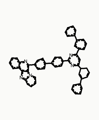 C1=CC(c2ccccc2)=CC(c2cc(-c3cccc(-c4ccccc4)c3)nc(-c3ccc(-c4ccc(-c5nc6ccccc6c6nc7ccccn7c56)cc4)cc3)n2)C1